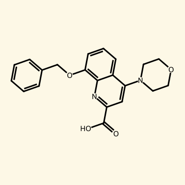 O=C(O)c1cc(N2CCOCC2)c2cccc(OCc3ccccc3)c2n1